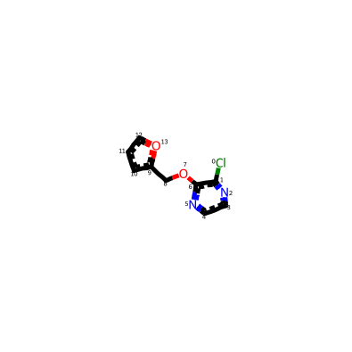 Clc1nccnc1OCc1ccco1